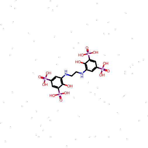 O=P(O)(O)c1cc(NCCNc2cc(P(=O)(O)O)cc(P(=O)(O)O)c2O)c(O)c(P(=O)(O)O)c1